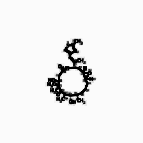 CC(=Cc1csc(C)n1)[C@@H]1C[C@@H]2O[C@@H]2CCC[C@H](C)[C@H](O)[C@@H](C)C(=O)C(C)(C)[C@@H](O)CC(=O)N1